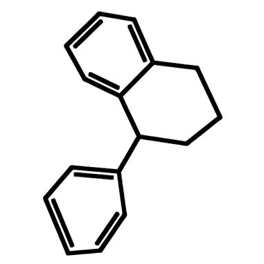 c1ccc(C2CCCc3ccccc32)cc1